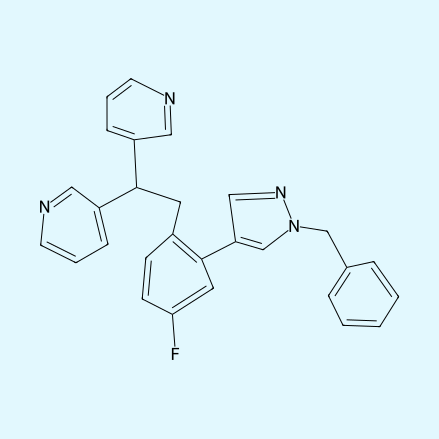 Fc1ccc(CC(c2cccnc2)c2cccnc2)c(-c2cnn(Cc3ccccc3)c2)c1